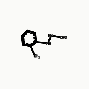 Cc1ccccc1NNC=O